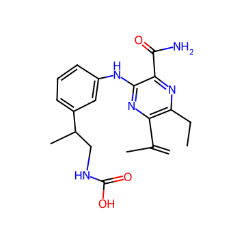 C=C(C)c1nc(Nc2cccc(C(C)CNC(=O)O)c2)c(C(N)=O)nc1CC